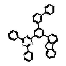 c1ccc(-c2cccc(-c3cc(-c4nc(-c5ccccc5)nc(-c5ccccc5)n4)cc(-c4cccc5c4Cc4ccccc4-5)c3)c2)cc1